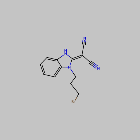 N#CC(C#N)=C1Nc2ccccc2N1CCCBr